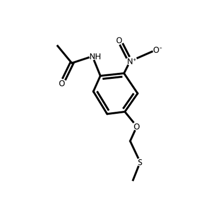 CSCOc1ccc(NC(C)=O)c([N+](=O)[O-])c1